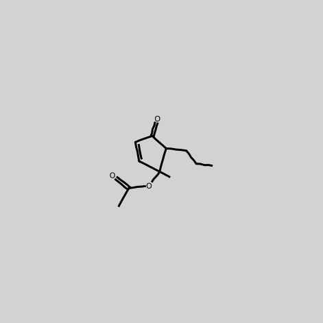 CCCC1C(=O)C=CC1(C)OC(C)=O